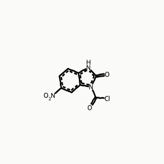 O=C(Cl)n1c(=O)[nH]c2ccc([N+](=O)[O-])cc21